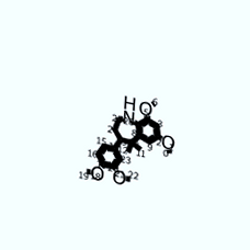 COc1cc(OC)c2c(c1)C(C)(C)C(c1ccc(OC)c(OC)c1)CCN2